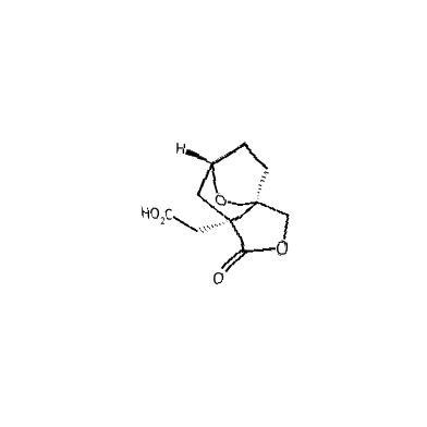 O=C(O)C[C@]12C[C@@H]3CC[C@@]1(COC2=O)O3